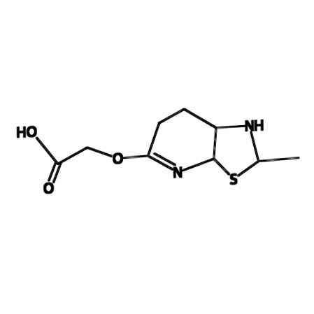 CC1NC2CCC(OCC(=O)O)=NC2S1